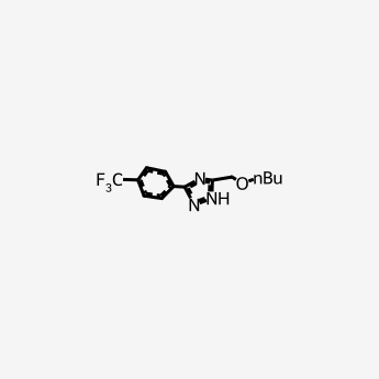 CCCCOCc1nc(-c2ccc(C(F)(F)F)cc2)n[nH]1